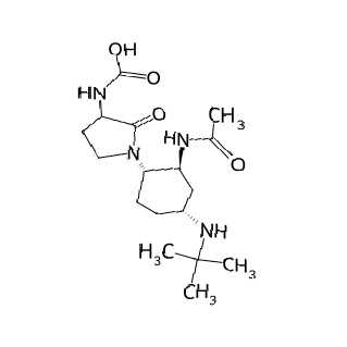 CC(=O)N[C@H]1C[C@H](NC(C)(C)C)CC[C@@H]1N1CCC(NC(=O)O)C1=O